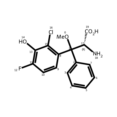 COC(c1ccccc1)(c1ccc(F)c(O)c1Cl)[C@@H](N)C(=O)O